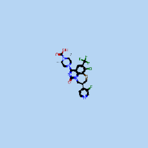 C[C@@H]1CN(c2nc(=O)n3c4c(c(Cl)c(C(F)(F)F)cc24)SC[C@@H](c2ccncc2F)C3)C[C@H](C)N1C(=O)O